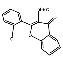 CCCCCc1c(-c2ccccc2O)oc2ccccc2c1=O